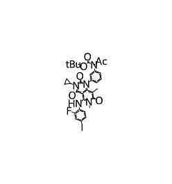 CC(=O)N(C(=O)OC(C)(C)C)c1cccc(-n2c(=O)n(C3CC3)c(=O)c3c(Nc4ccc(I)cc4F)n(C)c(=O)c(C)c32)c1